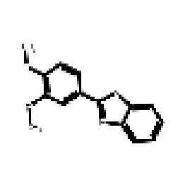 COc1ccc(-c2nc3ccccc3s2)cc1OC